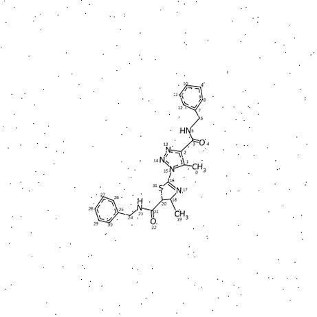 Cc1c(C(=O)NCc2ccccc2)nnn1C1=NC(C)C(C(=O)NCc2ccccc2)S1